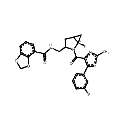 Cc1nc(C(=O)N2C(CNC(=O)c3cccc4c3OCO4)CC3C[C@@H]32)c(-c2cccc(F)c2)s1